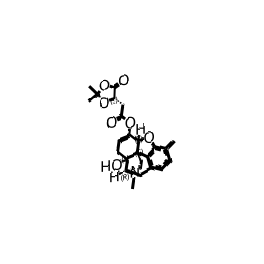 Cc1ccc2c3c1O[C@H]1C(OC(=O)C[C@@H]4OC(C)(C)OC4=O)=CC[C@@]4(O)[C@@H](C2)N(C)CC[C@]314